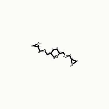 C1CC(COCC2CS2)SCC1COCC1CS1